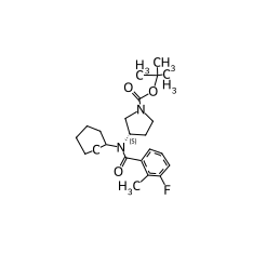 Cc1c(F)cccc1C(=O)N(C1CCCCC1)[C@H]1CCN(C(=O)OC(C)(C)C)C1